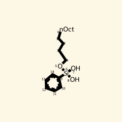 CCCCCCCCCCCCO[Si](O)(O)c1ccccc1